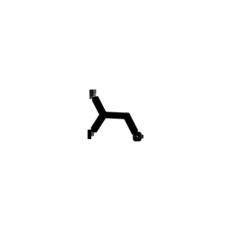 [O]CC(F)F